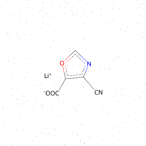 N#Cc1ncoc1C(=O)[O-].[Li+]